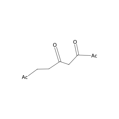 CC(=O)CCC(=O)CC(=O)C(C)=O